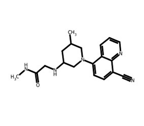 CNC(=O)CNC1CC(C)CN(c2ccc(C#N)c3ncccc23)C1